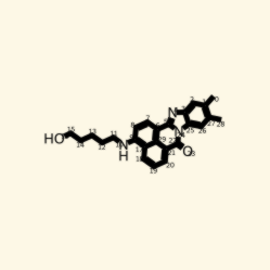 Cc1cc2nc3c4ccc(NCCCCCO)c5cccc(c(=O)n3c2cc1C)c54